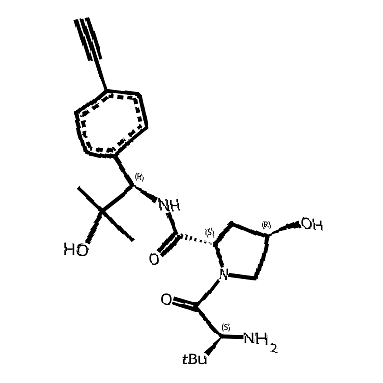 C#Cc1ccc([C@@H](NC(=O)[C@@H]2C[C@@H](O)CN2C(=O)[C@@H](N)C(C)(C)C)C(C)(C)O)cc1